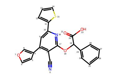 N#Cc1c(-c2ccoc2)cc(-c2cccs2)nc1OC(C(=O)O)c1ccccc1